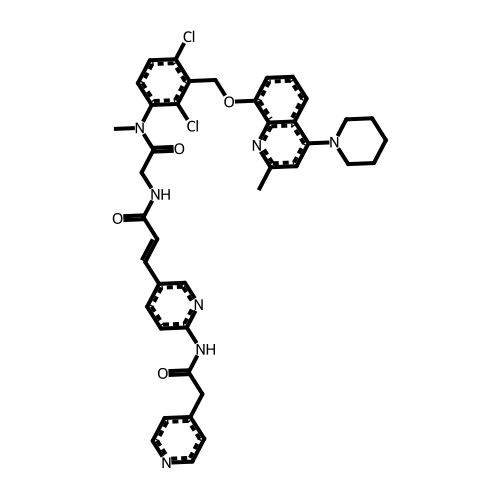 Cc1cc(N2CCCCC2)c2cccc(OCc3c(Cl)ccc(N(C)C(=O)CNC(=O)/C=C/c4ccc(NC(=O)Cc5ccncc5)nc4)c3Cl)c2n1